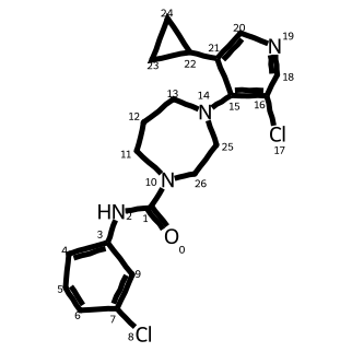 O=C(Nc1cccc(Cl)c1)N1CCCN(c2c(Cl)cncc2C2CC2)CC1